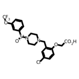 O=C(O)COc1ccc(Cl)cc1CN1CCN([S+]([O-])c2cccc(OC(F)(F)F)c2)CC1